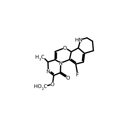 CC1N=C(OC(=O)O)C(=O)N2C1=COC1C2=C(F)C=C2CCCNC21